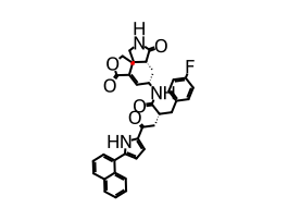 O=C1OCC/C1=C\[C@H](C[C@@H]1CCNC1=O)NC(=O)[C@@H](CC(=O)c1ccc(-c2cccc3ccccc23)[nH]1)Cc1ccc(F)cc1